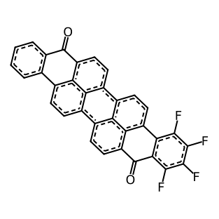 O=C1c2ccccc2-c2ccc3c4ccc5c6c(ccc(c7ccc1c2c37)c64)-c1c(F)c(F)c(F)c(F)c1C5=O